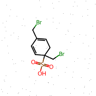 O=S(=O)(O)C1(CBr)C=CC(CBr)=CC1